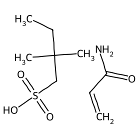 C=CC(N)=O.CCC(C)(C)CS(=O)(=O)O